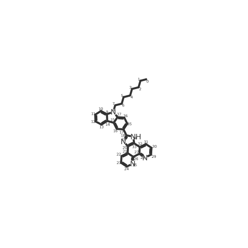 CCCCCCCCn1c2ccccc2c2cc(-c3nc4c5cccnc5c5ncccc5c4[nH]3)ccc21